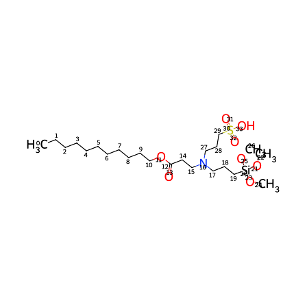 CCCCCCCCCCCOC(=O)CCN(CCC[Si](OC)(OC)OC)CCCS(=O)(=O)O